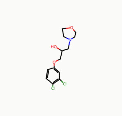 OC(COc1ccc(Cl)c(Cl)c1)CN1CCOCC1